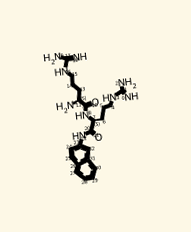 N=C(N)NCCC[C@H](NC(=O)[C@@H](N)CCCNC(=N)N)C(=O)Nc1ccc2ccccc2c1